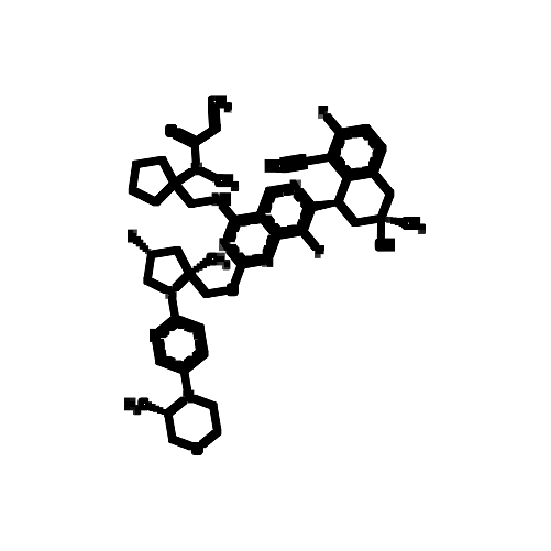 C#Cc1c(F)ccc2c1[C@H](c1ncc3c(NCC4(N(C)C(=O)C=C)CCCC4)nc(OC[C@]4(C)C[C@@H](F)CN4c4ccc(N5CCOC[C@@H]5C)cn4)nc3c1F)C[C@](C)(O)C2